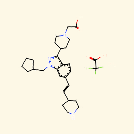 O.O=C(O)C(F)(F)F.O=C(O)CN1CCC(c2nn(CC3CCCC3)c3cc(C=CC4CCNCC4)ccc23)CC1